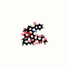 COC(=O)/C(C)=C\CC12OC(C)(C)C3CC(C1=O)C1C4=C(N=C5c6ccccc6C(=O)C51)c1c(O[C@@H]5O[C@@H]6COC(C)(C)O[C@H]6[C@H](O)[C@H]5O)c5c(c(CC=C(C)C)c1OC432)OC(C)(CCC=C(C)C)C=C5